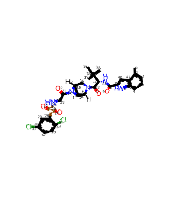 Cc1cccc2[nH]c(C(=O)N[C@H](C(=O)N3C[C@@H]4C[C@H]3CN4C(=O)CNS(=O)(=O)c3cc(Cl)ccc3Cl)C(C)(C)C)cc12